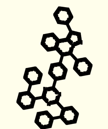 c1ccc(-c2ccccc2-c2nc(-c3ccc(-c4c(-c5ccccc5)n5ncc(-c6ccccc6)c5c5ccccc45)cc3)nc(-c3ccccc3-c3ccccc3)n2)cc1